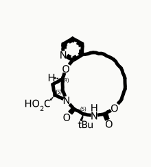 CC(C)(C)[C@@H]1NC(=O)OCCCCCCCc2cccnc2O[C@@H]2C[C@@H](C(=O)O)N(C2)C1=O